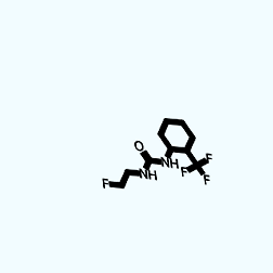 O=C(NCCF)NC1CCCCC1C(F)(F)F